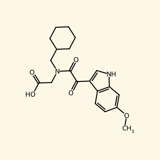 COc1ccc2c(C(=O)C(=O)N(CC(=O)O)CC3CCCCC3)c[nH]c2c1